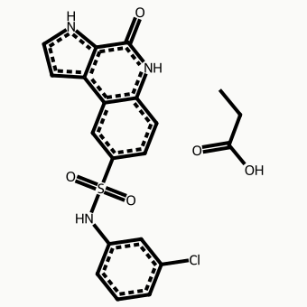 CCC(=O)O.O=c1[nH]c2ccc(S(=O)(=O)Nc3cccc(Cl)c3)cc2c2cc[nH]c12